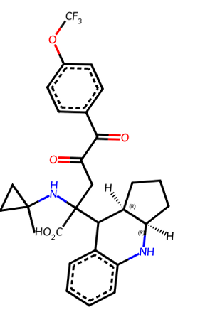 CC1(NC(CC(=O)C(=O)c2ccc(OC(F)(F)F)cc2)(C(=O)O)C2c3ccccc3N[C@@H]3CCC[C@H]23)CC1